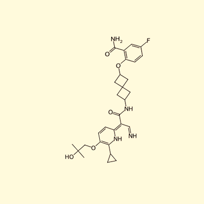 CC(C)(O)COC1=C(C2CC2)N/C(=C(\C=N)C(=O)NC2CC3(C2)CC(Oc2ccc(F)cc2C(N)=O)C3)C=C1